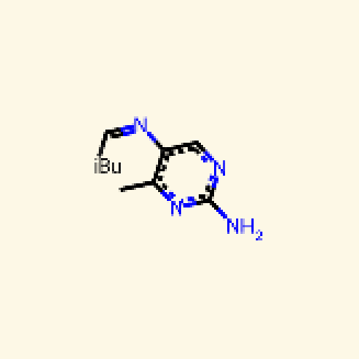 CCC(C)/C=N\c1cnc(N)nc1C